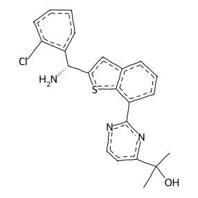 CC(C)(O)c1ccnc(-c2cccc3cc([C@H](N)c4ccccc4Cl)sc23)n1